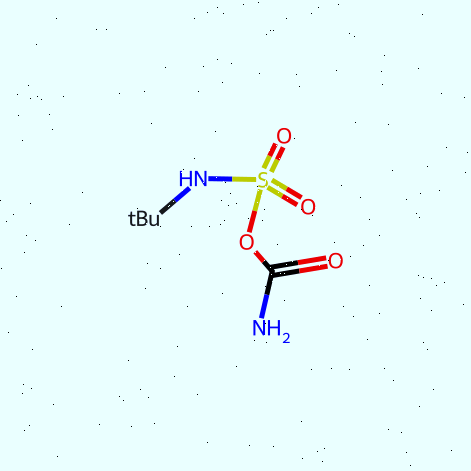 CC(C)(C)NS(=O)(=O)OC(N)=O